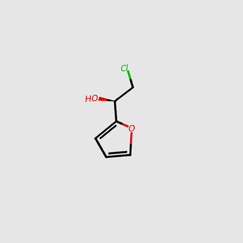 O[C@@H](CCl)c1ccco1